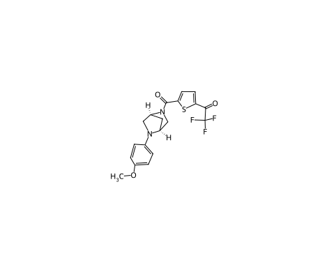 COc1ccc(N2C[C@@H]3C[C@H]2CN3C(=O)c2ccc(C(=O)C(F)(F)F)s2)cc1